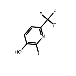 Oc1ccc(C(F)(F)F)nc1I